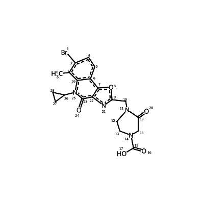 Cc1c(Br)ccc2c3oc(CN4CCN(C(=O)O)CC4=O)nc3c(=O)n(C3CC3)c12